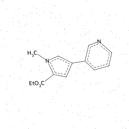 CCOC(=O)c1cc(-c2cccnc2)cn1C